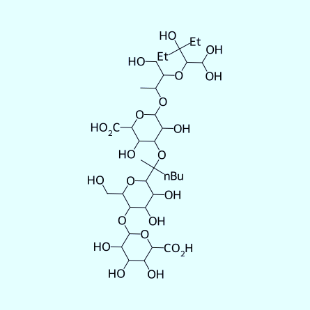 CCCCC(C)(OC1C(O)C(OC(C)C(CO)OC(C(O)O)C(O)(CC)CC)OC(C(=O)O)C1O)C1OC(CO)C(OC2OC(C(=O)O)C(O)C(O)C2O)C(O)C1O